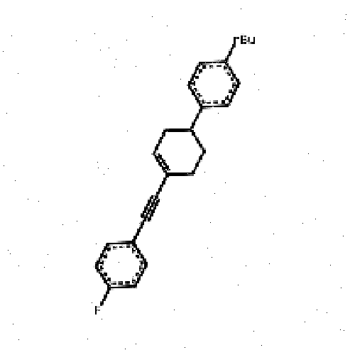 CCCCc1ccc(C2CC=C(C#Cc3ccc(F)cc3)CC2)cc1